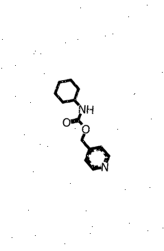 O=C(NC1CCCCC1)OCc1ccncc1